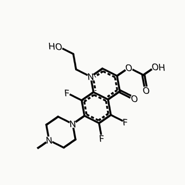 CN1CCN(c2c(F)c(F)c3c(=O)c(OC(=O)O)cn(CCO)c3c2F)CC1